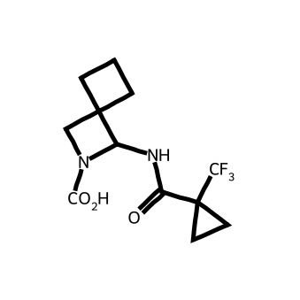 O=C(O)N1CC2(CCC2)C1NC(=O)C1(C(F)(F)F)CC1